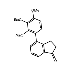 COc1ccc(-c2cccc3c2CCC3=O)c(OC)c1OCC(C)C